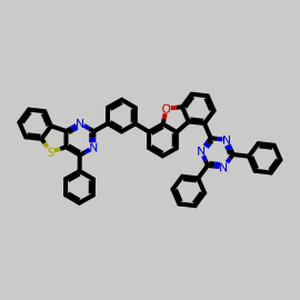 c1ccc(-c2nc(-c3ccccc3)nc(-c3cccc4oc5c(-c6cccc(-c7nc(-c8ccccc8)c8sc9ccccc9c8n7)c6)cccc5c34)n2)cc1